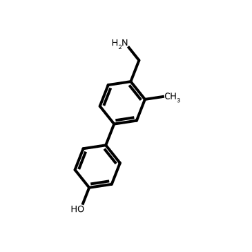 Cc1cc(-c2ccc(O)cc2)ccc1CN